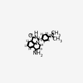 CN(C)c1ccc([C@H]2NC(=O)c3cccc4c3N2CC[C@H]4N)cc1